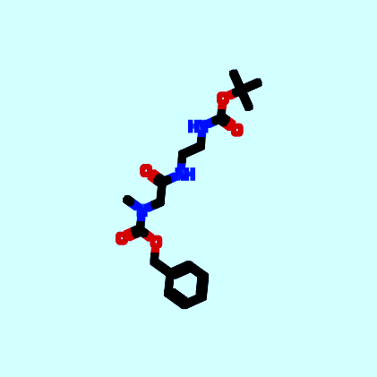 CN(CC(=O)NCCNC(=O)OC(C)(C)C)C(=O)OCc1ccccc1